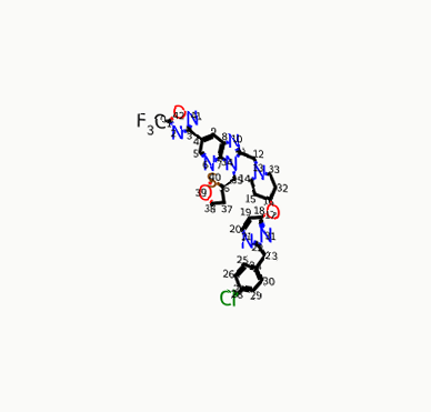 FC(F)(F)c1nc(-c2cnc3c(c2)nc(CN2CCC(Oc4ccnc(Cc5ccc(Cl)cc5)n4)CC2)n3C[C@H]2CCOS2)no1